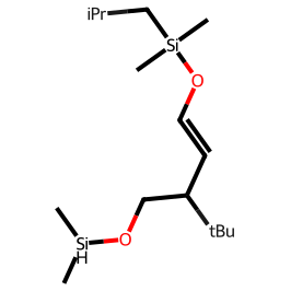 CC(C)C[Si](C)(C)OC=CC(CO[SiH](C)C)C(C)(C)C